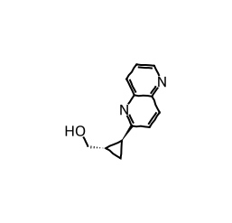 OC[C@H]1C[C@@H]1c1ccc2ncccc2n1